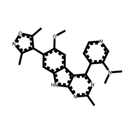 COc1cc2c(cc1-c1c(C)noc1C)[nH]c1nc(C)nc(-c3ccncc3N(C)C)c12